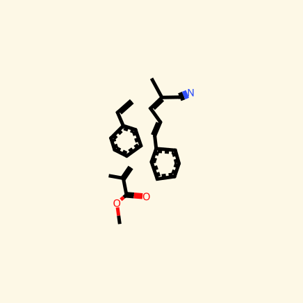 C=C(C)C(=O)OC.C=Cc1ccccc1.CC(C#N)=CC=Cc1ccccc1